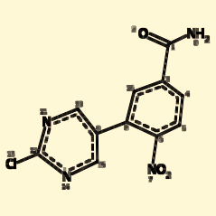 NC(=O)c1ccc([N+](=O)[O-])c(-c2cnc(Cl)nc2)c1